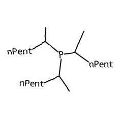 CCCCCC(C)P(C(C)CCCCC)C(C)CCCCC